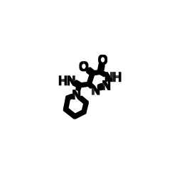 N=C(C1N=NNC(=O)C1=O)N1CCCCC1